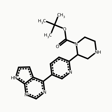 CC(C)(C)OC(=O)N1CCNCC1c1ccc(-c2ncnc3[nH]ccc23)cn1